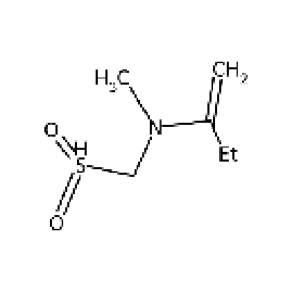 C=C(CC)N(C)C[SH](=O)=O